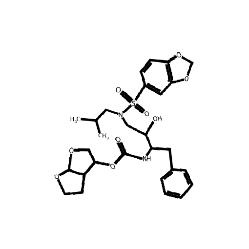 CC(C)CN(CC(O)C(Cc1ccccc1)NC(=O)OC1COC2OCCC12)S(=O)(=O)c1ccc2c(c1)OCO2